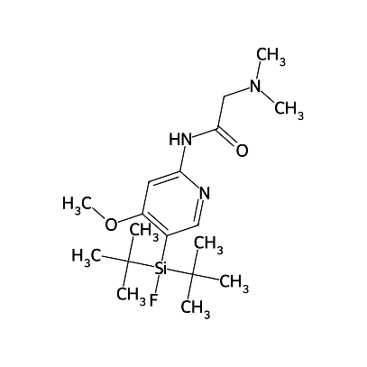 COc1cc(NC(=O)CN(C)C)ncc1[Si](F)(C(C)(C)C)C(C)(C)C